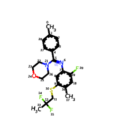 Cc1ccc(/C(=N/c2cc(SCC(C)(F)F)c(C)cc2F)N2CCOCC2)cc1